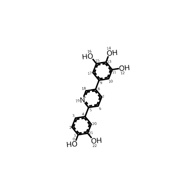 Oc1ccc(-c2ccc(-c3cc(O)c(O)c(O)c3)cn2)cc1O